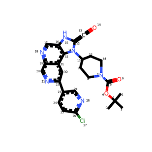 CC(C)(C)OC(=O)N1CCC(N2C(=C=O)Nc3cnc4cnc(-c5ccc(Cl)nc5)cc4c32)CC1